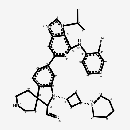 CC(C)n1cnc2cc(-c3ccc4c(c3)N([C@H]3C[C@@H](N5CCCCC5)C3)C(C=O)C43CCNCC3)nc(Nc3ccncc3F)c21